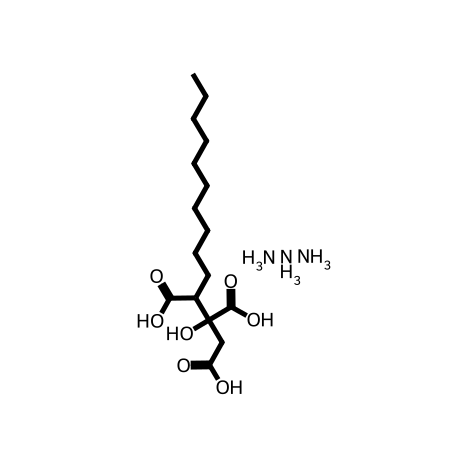 CCCCCCCCCCC(C(=O)O)C(O)(CC(=O)O)C(=O)O.N.N.N